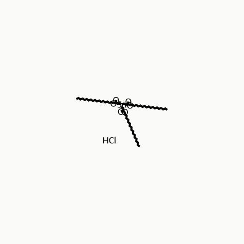 CCCCCCCCCCCCCCCCCCOC(=O)C[CH2][Sn]([CH2]CC(=O)OCCCCCCCCCCCCCCCCCC)[CH2]CC(=O)OCCCCCCCCCCCCCCCCCC.Cl